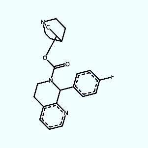 O=C(OC1CN2CCC1CC2)N1CCc2cccnc2C1c1ccc(F)cc1